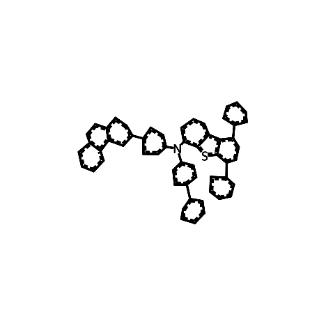 c1ccc(-c2ccc(N(c3ccc(-c4ccc5ccc6ccccc6c5c4)cc3)c3cccc4c3sc3c(-c5ccccc5)ccc(-c5ccccc5)c34)cc2)cc1